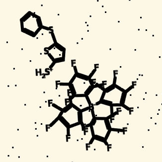 Fc1c(F)c(F)c([B-](c2c(F)c(F)c(F)c(F)c2F)(c2c(F)c(F)c(F)c(F)c2F)c2c(F)c(F)c(F)c(F)c2F)c(F)c1F.[SH2+]c1ccc(Sc2ccccc2)s1